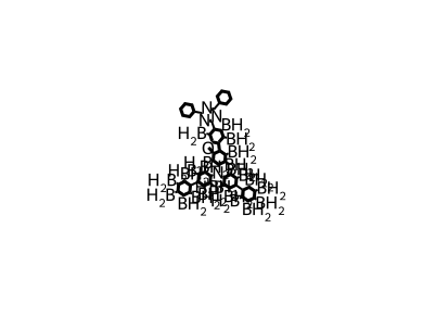 Bc1c(B)c(B)c(-c2c(B)c(B)c(N(c3c(B)c(B)c(-c4c(B)c(B)c(B)c(B)c4B)c(B)c3B)c3c(B)c(B)c4c(oc5c(B)c(-c6nc(-c7ccccc7)nc(-c7ccccc7)n6)c(B)c(B)c54)c3B)c(B)c2B)c(B)c1B